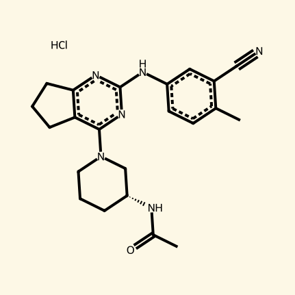 CC(=O)N[C@@H]1CCCN(c2nc(Nc3ccc(C)c(C#N)c3)nc3c2CCC3)C1.Cl